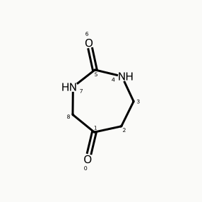 O=C1CCNC(=O)NC1